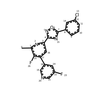 Cc1nc(-c2noc(-c3cccc(Cl)c3)n2)cc(-c2cncc(F)c2)c1F